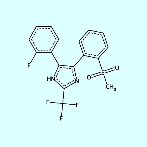 CS(=O)(=O)c1ccccc1-c1nc(C(F)(F)F)[nH]c1-c1ccccc1F